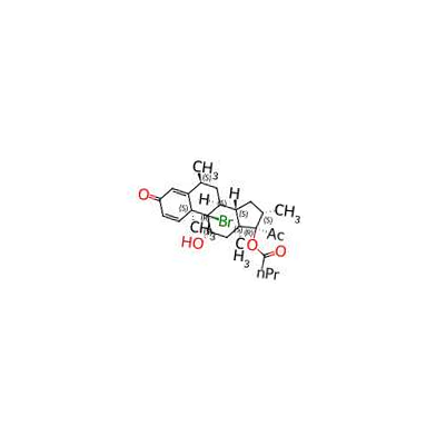 CCCC(=O)O[C@]1(C(C)=O)[C@@H](C)C[C@H]2[C@@H]3C[C@H](C)C4=CC(=O)C=C[C@]4(C)[C@@]3(Br)[C@@H](O)C[C@@]21C